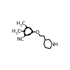 Cc1cc(OCCC2CCCNC2)cc(C#N)c1C